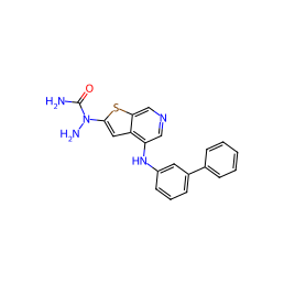 NC(=O)N(N)c1cc2c(Nc3cccc(-c4ccccc4)c3)cncc2s1